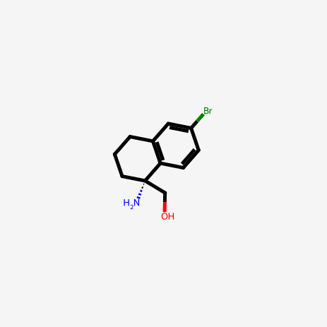 N[C@]1(CO)CCCc2cc(Br)ccc21